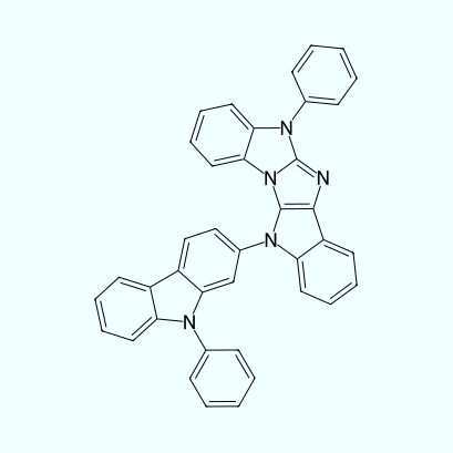 c1ccc(-n2c3ccccc3c3ccc(-n4c5ccccc5c5nc6n(-c7ccccc7)c7ccccc7n6c54)cc32)cc1